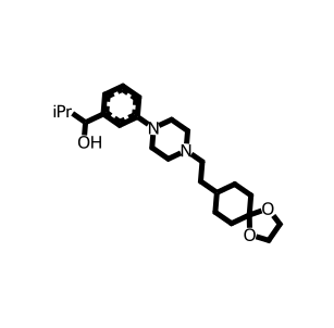 CC(C)C(O)c1cccc(N2CCN(CCC3CCC4(CC3)OCCO4)CC2)c1